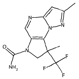 Cc1cc2ncc3c(n2n1)C(C)(C(F)(F)F)CN3C(N)=O